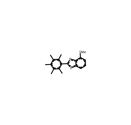 CSc1cccc2sc(-c3c(C)c(C)c(C)c(C)c3C)nc12